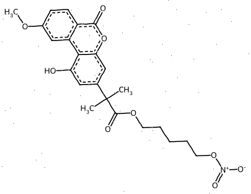 COc1ccc2c(=O)oc3cc(C(C)(C)C(=O)OCCCCCO[N+](=O)[O-])cc(O)c3c2c1